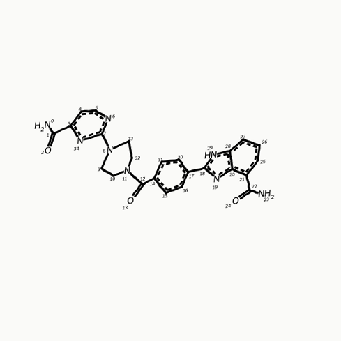 NC(=O)c1ccnc(N2CCN(C(=O)c3ccc(-c4nc5c(C(N)=O)cccc5[nH]4)cc3)CC2)n1